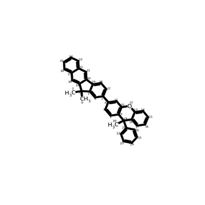 CC1(C)c2cc(-c3ccc4c(c3)Oc3ccccc3C4(C)c3ccccc3)ccc2-c2cc3ccccc3cc21